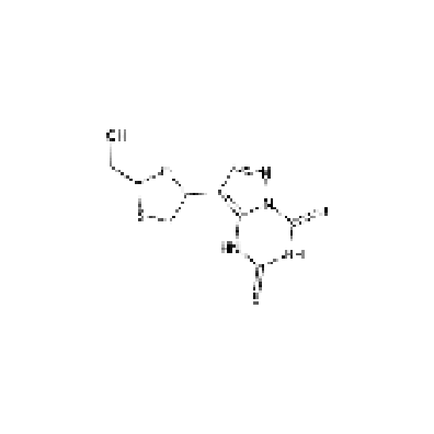 O=c1[nH]c(=S)[nH]c2c(C3CSC(CO)O3)cnn12